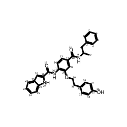 CC(Cc1ccccc1)NC(=O)c1ccc(NC(=O)c2cc3ccccc3[nH]2)c(OCCc2ccc(O)cc2)c1